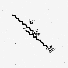 C=O.CCCCCCCCCCCCOS(=O)(=O)[O-].CCCCCCCCCCCCOS(=O)(=O)[O-].[Na+].[Na+]